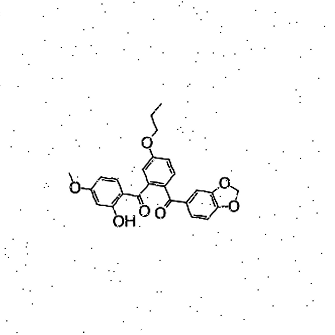 CCCOc1ccc(C(=O)c2ccc3c(c2)OCO3)c(C(=O)c2ccc(OC)cc2O)c1